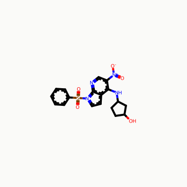 O=[N+]([O-])c1cnc2c(ccn2S(=O)(=O)c2ccccc2)c1NC1CCC(O)C1